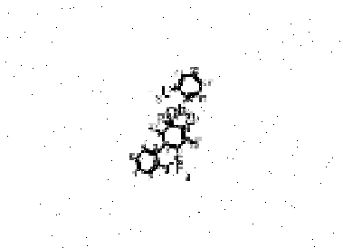 FC1=C(c2ccccc2C(F)(F)F)C(F)C2(F)OB(c3ccccc3C(F)(F)F)OC2=C1F